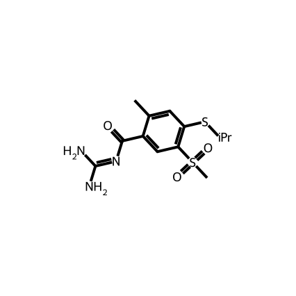 Cc1cc(SC(C)C)c(S(C)(=O)=O)cc1C(=O)N=C(N)N